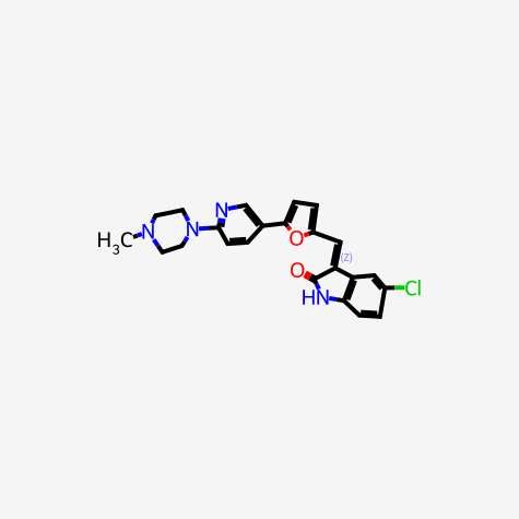 CN1CCN(c2ccc(-c3ccc(/C=C4\C(=O)Nc5ccc(Cl)cc54)o3)cn2)CC1